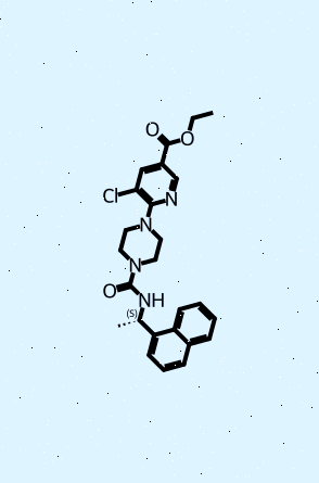 CCOC(=O)c1cnc(N2CCN(C(=O)N[C@@H](C)c3cccc4ccccc34)CC2)c(Cl)c1